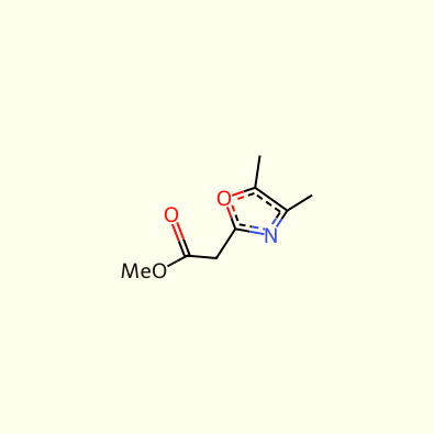 COC(=O)Cc1nc(C)c(C)o1